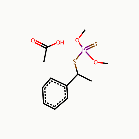 CC(=O)O.COP(=S)(OC)SC(C)c1ccccc1